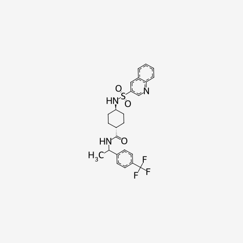 CC(NC(=O)[C@H]1CC[C@H](NS(=O)(=O)c2cnc3ccccc3c2)CC1)c1ccc(C(F)(F)F)cc1